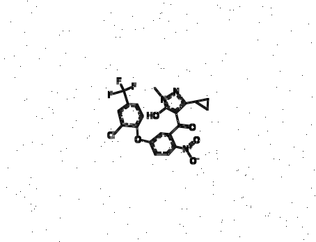 Cn1nc(C2CC2)c(C(=O)c2cc(Oc3ccc(C(F)(F)F)cc3Cl)ccc2[N+](=O)[O-])c1O